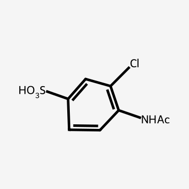 CC(=O)Nc1ccc(S(=O)(=O)O)cc1Cl